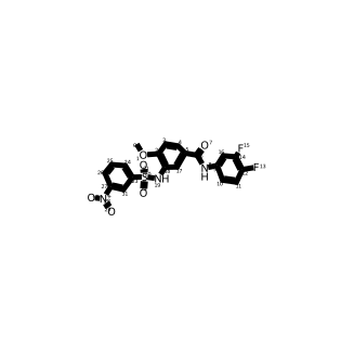 COc1ccc(C(=O)Nc2ccc(F)c(F)c2)cc1NS(=O)(=O)c1cccc([N+](=O)[O-])c1